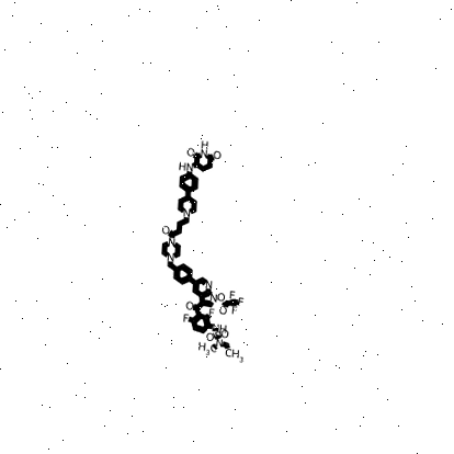 CCN(C)S(=O)(=O)Nc1ccc(F)c(C(=O)c2cn(OC(=O)C(F)(F)F)c3ncc(-c4ccc(CN5CCN(C(=O)CCCN6CCC(c7ccc(NC8CCC(=O)NC8=O)cc7)CC6)CC5)cc4)cc23)c1F